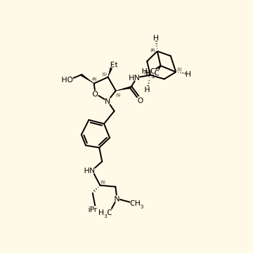 CC[C@@H]1[C@H](CO)ON(Cc2cccc(CN[C@@H](CC(C)C)CN(C)C)c2)[C@@H]1C(=O)N[C@@H]1C[C@@H]2C[C@H](C1)C2(C)C